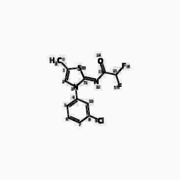 Cc1cn(-c2cccc(Cl)c2)c(=NC(=O)C(F)F)s1